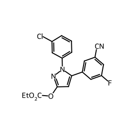 CCOC(=O)Oc1cc(-c2cc(F)cc(C#N)c2)n(-c2cccc(Cl)c2)n1